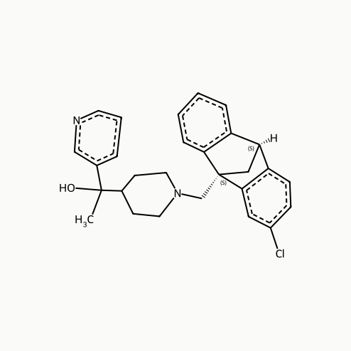 CC(O)(c1cccnc1)C1CCN(C[C@@]23C[C@@H](c4ccccc42)c2ccc(Cl)cc23)CC1